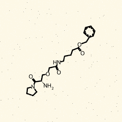 N[C@@H](COCC(=O)NCCCCC(=O)OCc1ccccc1)C(=O)N1CCCC1